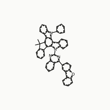 CC1(C)c2ccccc2-c2c1c1c3ccccc3n(-c3ccccc3)c1c1c3ccccc3n(-c3nc(-c4ccc5oc6ccccc6c5c4)c4ccccc4n3)c21